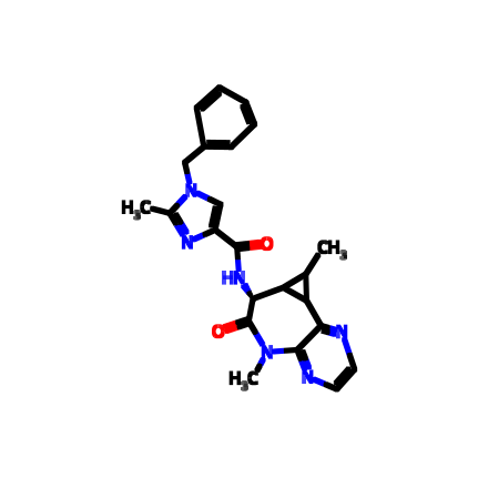 Cc1nc(C(=O)N[C@@H]2C(=O)N(C)c3nccnc3C3C(C)C32)cn1Cc1ccccc1